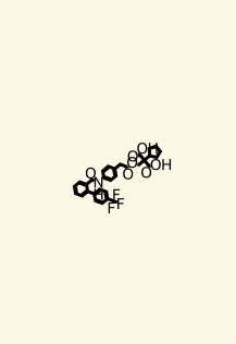 O=C(Cc1ccc(NC(=O)c2ccccc2-c2ccc(C(F)(F)F)cc2)cc1)OCC(C(=O)O)(C(=O)O)C1CCCC1